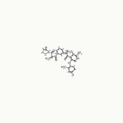 Cc1nc(F)ccc1Oc1nnc(C(F)(F)F)c(C)c1C(=O)Nc1cccc([S@@+]([O-])N(C)C(=O)[C@@H]2CCCN2)c1